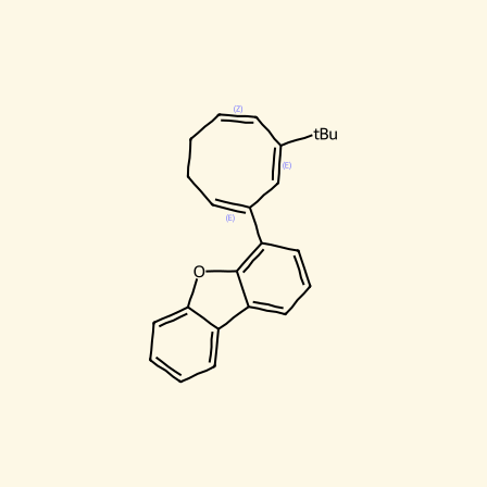 CC(C)(C)C1=C/C(c2cccc3c2oc2ccccc23)=C\CC/C=C\1